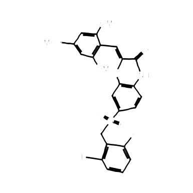 COc1cc(OC)c(C=C2Sc3cc(S(=O)(=O)Cc4c(F)cccc4F)ccc3NC2=O)c(OC)c1